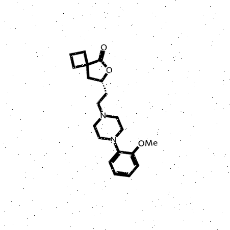 COc1ccccc1N1CCN(CC[C@@H]2CC3(CCC3)C(=O)O2)CC1